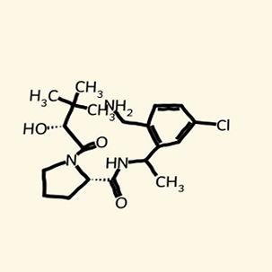 CC(NC(=O)[C@@H]1CCCN1C(=O)[C@H](O)C(C)(C)C)c1cc(Cl)ccc1CN